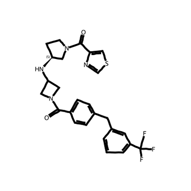 O=C(c1ccc(Cc2cccc(C(F)(F)F)c2)cc1)N1CC(N[C@H]2CCN(C(=O)c3cscn3)C2)C1